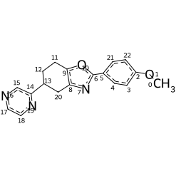 COc1ccc(-c2nc3c(o2)CCC(c2cnccn2)C3)cc1